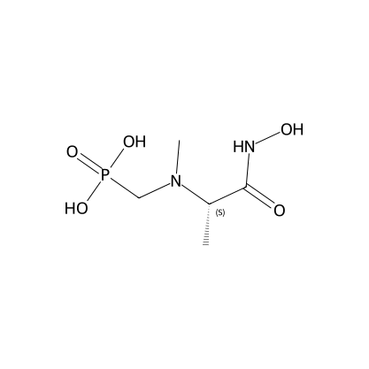 C[C@@H](C(=O)NO)N(C)CP(=O)(O)O